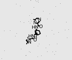 Cc1cncc(C(=O)NC23CCC(CC2)[C@H](NC(=O)c2nc(C)cs2)CC3)n1